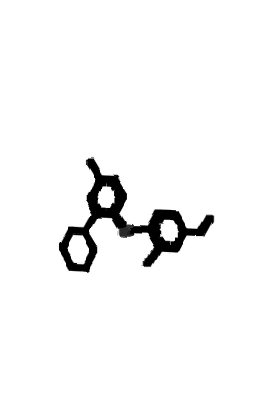 CCc1ccc(Oc2ccc(C)cc2C2CCCCC2)c(C)c1